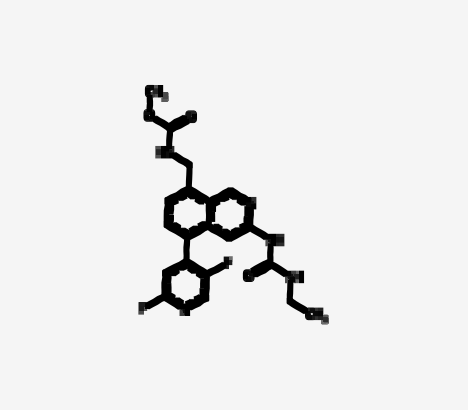 CCNC(=O)Nc1cc2c(-c3cc(F)ncc3F)ccc(CNC(=O)OC)c2cn1